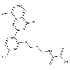 Cc1ccc(-c2cc(=O)c3cccc(Cl)c3o2)c(OCCCNC(=O)C(=O)O)c1